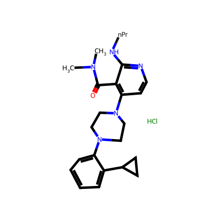 CCCNc1nccc(N2CCN(c3ccccc3C3CC3)CC2)c1C(=O)N(C)C.Cl